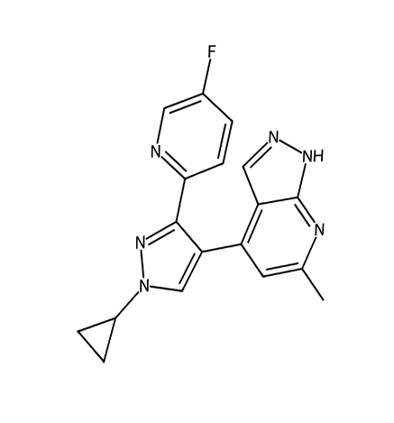 Cc1cc(-c2cn(C3CC3)nc2-c2ccc(F)cn2)c2cn[nH]c2n1